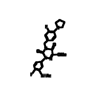 COc1nn(-c2ccc(F)c(NC(C)=O)c2)c(=O)n(Cc2ccc(N3CCCC3)c(F)c2)c1=O